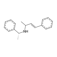 CC(C=Cc1ccccc1)N[C@H](C)c1ccccc1